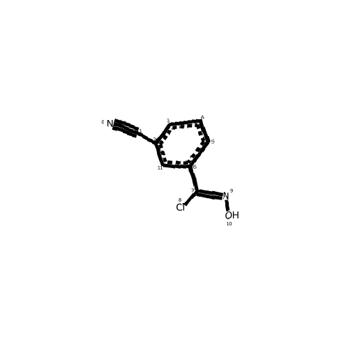 N#Cc1cccc(/C(Cl)=N/O)c1